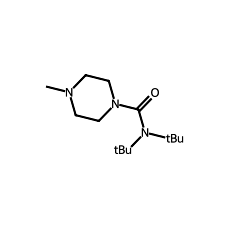 CN1CCN(C(=O)N(C(C)(C)C)C(C)(C)C)CC1